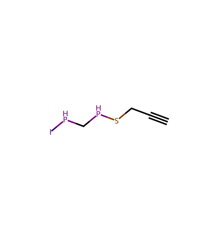 C#CCSPCPI